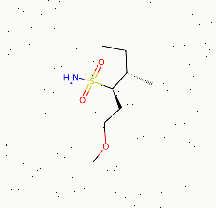 CC[C@H](C)[C@@H](CCOC)S(N)(=O)=O